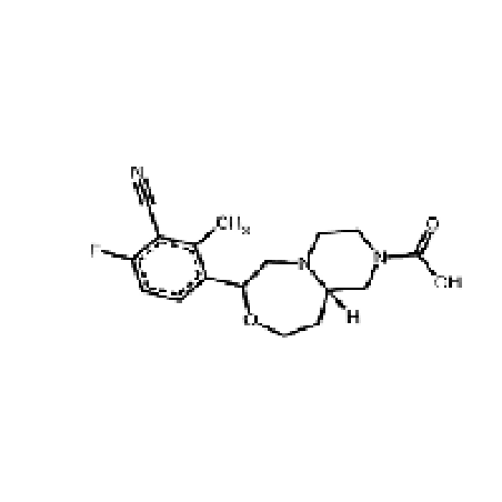 Cc1c(C2CN3CCN(C(=O)O)C[C@@H]3CCO2)ccc(F)c1C#N